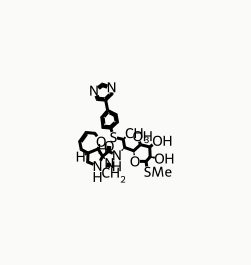 C=N[C@]1(C(=O)N[C@H]([C@H](C)Sc2ccc(-c3cncnc3)cc2)[C@H]2OC(SC)[C@H](O)C(O)C2O)NC[C@@H]2CC=CCO[C@H]21